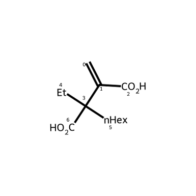 C=C(C(=O)O)C(CC)(CCCCCC)C(=O)O